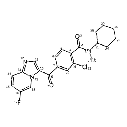 CCN(C(=O)c1ccc(C(=O)c2cnc3ccc(F)cn23)cc1Cl)C1CCCCC1